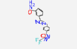 NC(=O)c1cccc(-c2cn(Cc3ccc(-c4nnc(C(F)F)o4)cc3)cn2)c1